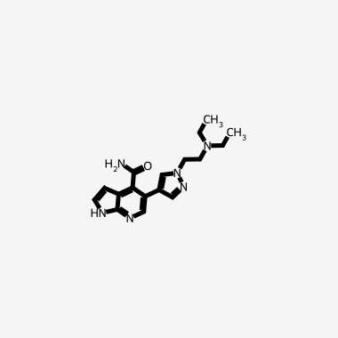 CCN(CC)CCn1cc(-c2cnc3[nH]c[c]c3c2C(N)=O)cn1